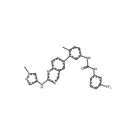 Cc1ccc(NC(=O)Nc2cccc(C(F)(F)F)c2)cc1-c1ccc2nc(Nc3cnn(C)c3)ncc2c1